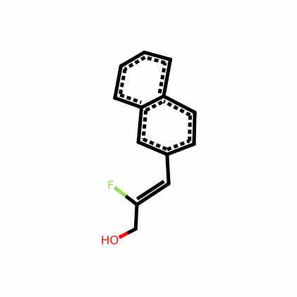 OCC(F)=Cc1ccc2ccccc2c1